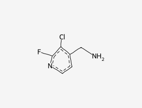 NCc1ccnc(F)c1Cl